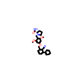 COc1cc(OCc2cccc(-c3ccccc3)c2C#N)cc(OC)c1CN1CCC[C@H]1C(N)=O